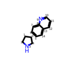 C1CCNC1.c1ccc2ncccc2c1